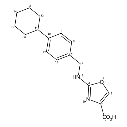 O=C(O)c1coc(NCc2ccc(C3CCCCC3)cc2)n1